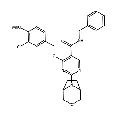 COc1ccc(COc2nc(N3C4CCC3COC4)ncc2C(=O)NCc2ccccc2)cc1Cl